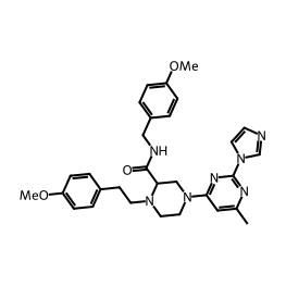 COc1ccc(CCN2CCN(c3cc(C)nc(-n4ccnc4)n3)CC2C(=O)NCc2ccc(OC)cc2)cc1